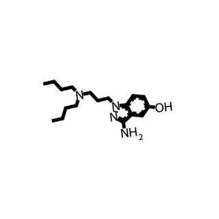 CCCCN(CCCC)CCCn1nc(N)c2cc(O)ccc21